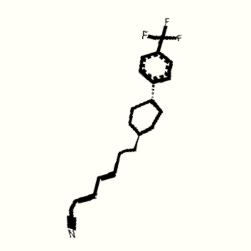 N#C/C=C/C=C/CC[C@H]1CC[C@H](c2ccc(C(F)(F)F)cc2)CC1